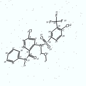 COCN(c1cc(Cl)cnc1C(=O)N(C)c1ccccc1)S(=O)(=O)c1ccc(Cl)c(C(F)(F)F)c1